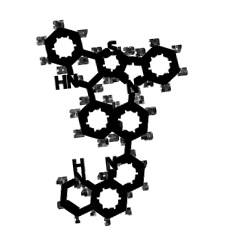 C1=Cc2ccc3ccc(-c4ccc(-n5c6ccccc6c6sc7c(c65)C(c5ccccc5)Nc5ccccc5-7)cc4)nc3c2NC1